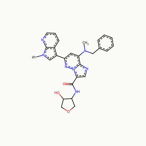 CC(C)n1cc(-c2cc(N(C)Cc3ccccc3)c3ncc(C(=O)NC4COCC4O)n3n2)c2cccnc21